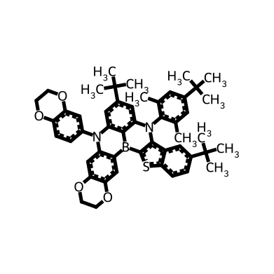 Cc1cc(C(C)(C)C)cc(C)c1N1c2cc(C(C)(C)C)cc3c2B(c2cc4c(cc2N3c2ccc3c(c2)OCCO3)OCCO4)c2sc3ccc(C(C)(C)C)cc3c21